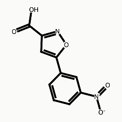 O=C(O)c1cc(-c2cccc([N+](=O)[O-])c2)on1